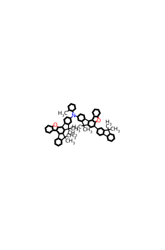 Cc1ccccc1N(c1ccc2c(c1)C(C)(C)c1cc(-c3ccc4c(c3)C(C)(C)c3ccccc3-4)c3oc4ccccc4c3c1-2)c1ccc2c(c1)C(C)(C)c1c3c(c4c(oc5ccccc54)c1-2)-c1ccccc1C3(C)C